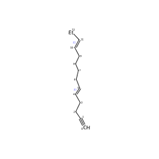 C#CCC/C=C/CCCC/C=C/CC